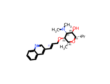 CC(C)[C@@H]1O[C@H](C)[C@@H](OC/C=C/c2cnc3ccccc3c2)[C@H](N(C)C)[C@H]1O